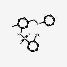 O=[N+]([O-])c1ccccc1S(=O)(=O)Nc1cc(COc2ccccc2)ccc1I